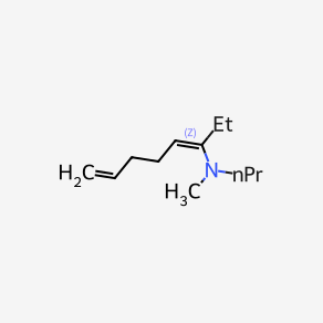 C=CCC/C=C(/CC)N(C)CCC